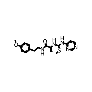 C=C(NC(Nc1ccncn1)SC)C(=O)NCCc1ccc(OC)cc1